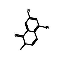 CC(C)c1cc(C(C)C)c2ccn(C)c(=O)c2c1